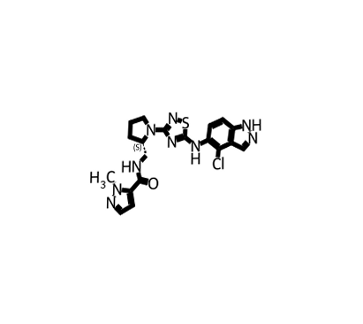 Cn1nccc1C(=O)NC[C@@H]1CCCN1c1nsc(Nc2ccc3[nH]ncc3c2Cl)n1